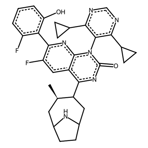 C[C@@H]1CC2CCC(CC1c1nc(=O)n(-c3c(C4CC4)ncnc3C3CC3)c3nc(-c4c(O)cccc4F)c(F)cc13)N2